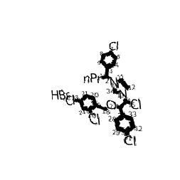 Br.CCCC(c1ccc(Cl)cc1)N1C=CN(C(Cl)C(OCc2ccc(Cl)cc2Cl)c2ccc(Cl)cc2)C1